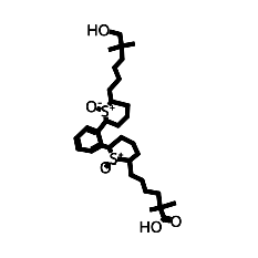 CC(C)(CO)CCCCC1CCCC(c2ccccc2C2CCCC(CCCCC(C)(C)C(=O)O)[S+]2[O-])[S+]1[O-]